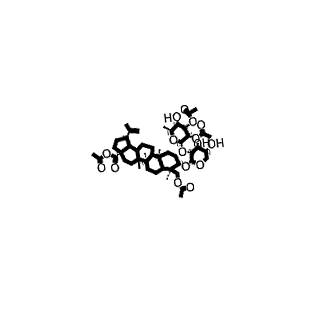 C=C(C)[C@@H]1CC[C@]2(C(=O)OC(C)=O)CC[C@]3(C)C(CCC4[C@@]5(C)CC[C@H](O[C@@H]6OC[C@H](O)[C@H](O)[C@H]6O[C@@H]6O[C@@H](C)[C@H](O)[C@@H](OC(C)=O)[C@H]6OC(C)=O)[C@@](C)(COC(C)=O)C5CC[C@]43C)C12